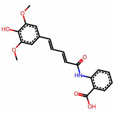 COc1cc(/C=C/C=C/C(=O)Nc2ccccc2C(=O)O)cc(OC)c1O